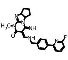 Cn1c(=O)/c(=C/NCc2ccc(-c3cccc(F)n3)cc2)c(=N)n2c1=NC1CCCC12